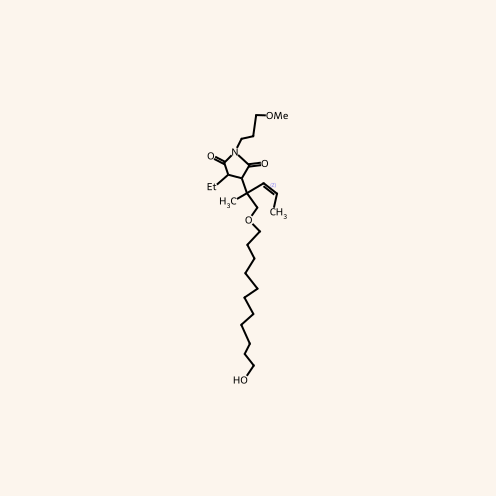 C/C=C\C(C)(COCCCCCCCCCCCO)C1C(=O)N(CCCOC)C(=O)C1CC